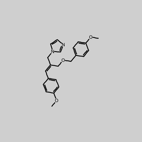 COc1ccc(C=C(COCc2ccc(OC)cc2)Cn2ccnc2)cc1